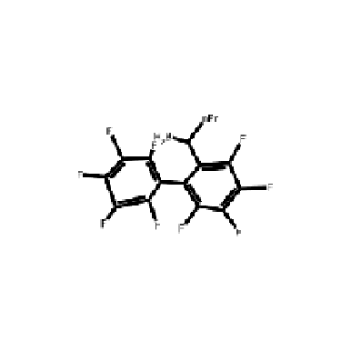 BC(CCC)c1c(F)c(F)c(F)c(F)c1-c1c(F)c(F)c(F)c(F)c1F